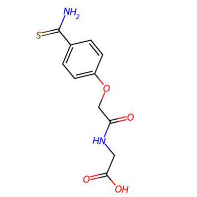 NC(=S)c1ccc(OCC(=O)NCC(=O)O)cc1